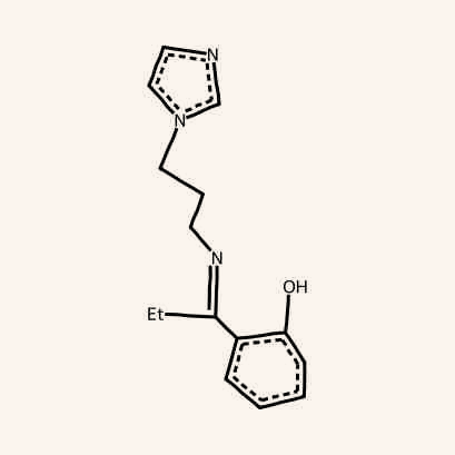 CC/C(=N\CCCn1ccnc1)c1ccccc1O